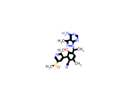 COc1c(C(C)n2nc(C)c3c(N)ncnc32)cc(C)c(C#N)c1-c1cncc([S+](C)[O-])c1